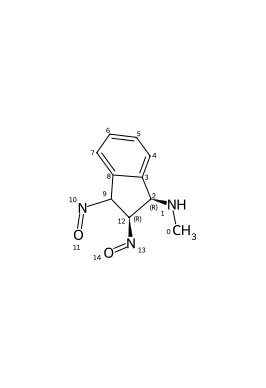 CN[C@@H]1c2ccccc2C(N=O)[C@@H]1N=O